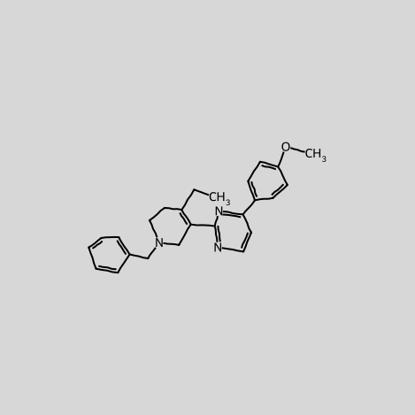 CCC1=C(c2nccc(-c3ccc(OC)cc3)n2)CN(Cc2ccccc2)CC1